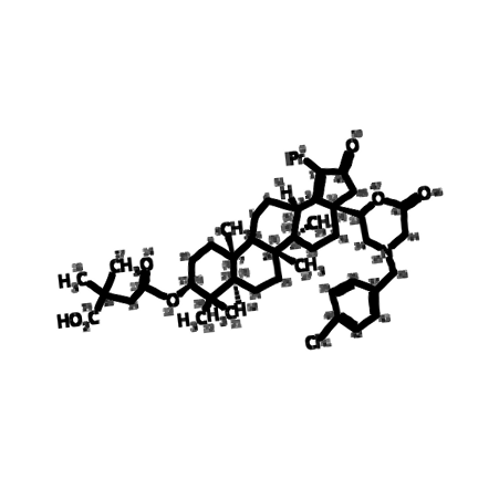 CC(C)C1=C2[C@H]3CCC4[C@@]5(C)CC[C@H](OC(=O)CC(C)(C)C(=O)O)C(C)(C)[C@@H]5CC[C@@]4(C)[C@]3(C)CC[C@@]2(C2CN(Cc3ccc(Cl)cc3)CC(=O)O2)CC1=O